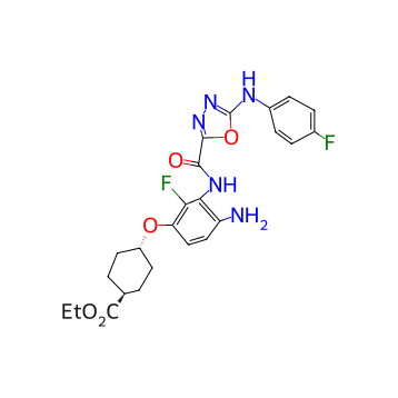 CCOC(=O)[C@H]1CC[C@H](Oc2ccc(N)c(NC(=O)c3nnc(Nc4ccc(F)cc4)o3)c2F)CC1